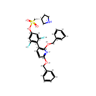 O=S(=O)(C[C@@H]1CCNC1)Oc1cc(F)c(-c2ccc(OCc3ccccc3)nc2OCc2ccccc2)c(F)c1